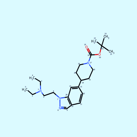 CCN(CC)CCn1ncc2ccc(C3CCN(C(=O)OC(C)(C)C)CC3)cc21